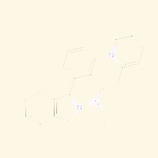 CC(C)(C)[S+]([O-])N[C@@H](Cc1nc(Br)ccc1F)c1ccccc1-c1noc2cc(F)ccc12